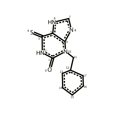 O=c1[nH]c(=S)c2[nH]cnc2n1Cc1ccccc1